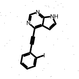 Ic1ccccc1C#Cc1ncnc2[nH]ccc12